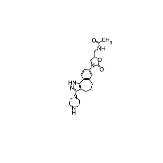 CC(=O)NCC1CN(c2ccc3c(c2)CCCc2c(N4CCNCC4)n[nH]c2-3)C(=O)O1